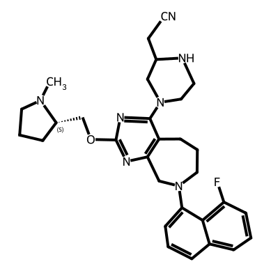 CN1CCC[C@H]1COc1nc2c(c(N3CCNC(CC#N)C3)n1)CCCN(c1cccc3cccc(F)c13)C2